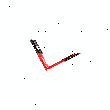 [Fe+3].[Fe+3].[Fe+3].[Fe+3].[Fe+3].[Fe+3].[Fe+3].[Fe+3].[Fe+3].[Fe+3].[Fe+3].[Fe+3].[Fe+3].[Fe+3].[Fe+3].[Fe+3].[Fe+3].[Fe+3].[Fe+3].[Fe+3].[Fe+3].[Fe+3].[Fe+3].[Fe+3].[Fe+3].[Fe+3].[Fe+3].[Fe+3].[Fe+3].[Fe+3].[Fe+3].[Fe+3].[Fe+3].[Fe+3].[Fe+3].[Fe+3].[Fe+3].[Fe+3].[Fe+3].[Fe+3].[Fe+3].[Fe+3].[Fe+3].[Fe+3].[Fe+3].[Fe+3].[Fe+3].[Fe+3].[Fe+3].[Fe+3].[O-2].[O-2].[O-2].[O-2].[O-2].[O-2].[O-2].[O-2].[O-2].[O-2].[O-2].[O-2].[O-2].[O-2].[O-2].[O-2].[O-2].[O-2].[O-2].[O-2].[O-2].[O-2].[O-2].[O-2].[O-2].[O-2].[O-2].[O-2].[O-2].[O-2].[O-2].[O-2].[O-2].[O-2].[O-2].[O-2].[O-2].[O-2].[O-2].[O-2].[O-2].[O-2].[O-2].[O-2].[O-2].[O-2].[O-2].[O-2].[O-2].[O-2].[O-2].[O-2].[O-2].[O-2].[O-2].[O-2].[O-2].[O-2].[O-2].[O-2]